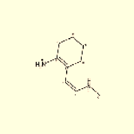 CN/C=C\C1=C(N)CCCC1